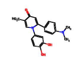 CN(C)c1ccc(-c2cc(=O)c(C(=O)O)cn2-c2ccc(O)c(O)c2)cc1